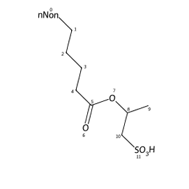 CCCCCCCCCCCCCC(=O)OC(C)CS(=O)(=O)O